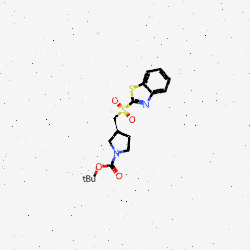 CC(C)(C)OC(=O)N1CC[C@H](CS(=O)(=O)c2nc3ccccc3s2)C1